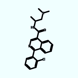 CC(CN(C)C)NC(=O)c1cnc(-c2ccccc2Cl)c2ccccc12